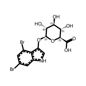 O=C(O)[C@H]1O[C@@H](Oc2c[nH]c3cc(Br)cc(Br)c23)[C@H](O)[C@@H](O)[C@@H]1O